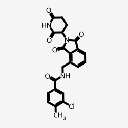 Cc1ccc(C(=O)NCc2cccc3c2C(=O)N(C2CCC(=O)NC2=O)C3=O)cc1Cl